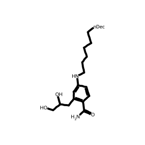 CCCCCCCCCCCCCCCCNc1ccc(C(N)=O)c(CC(O)CO)c1